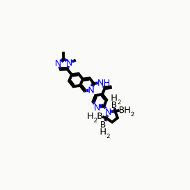 BC1(B)CCC(B)(B)N1c1cc(C(=C)Nc2cc3cc(-c4cnc(C)n4C)ccc3cn2)ccn1